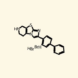 Br.Br.c1ccc(-c2ccc(-c3cn4c5c(sc4n3)CNCC5)cc2)cc1